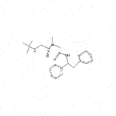 CN(CC(=O)NC(Cc1ccccn1)c1ccccc1)C(=O)CNC(C)(C)C